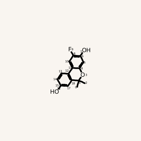 CC1(C)Oc2cc(O)c(F)cc2-c2ccc(O)cc21